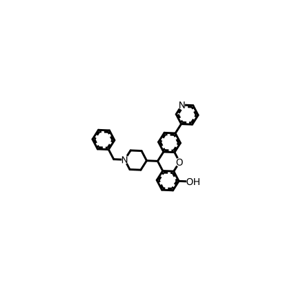 Oc1cccc2c1Oc1cc(-c3cccnc3)ccc1C2C1CCN(Cc2ccccc2)CC1